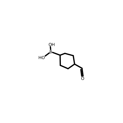 O=CC1CCC(B(O)O)CC1